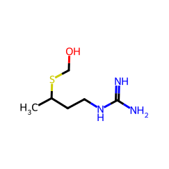 CC(CCNC(=N)N)SCO